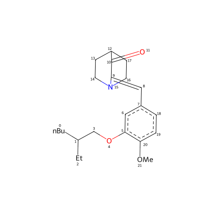 CCCCC(CC)COc1cc(C=C2C(=O)C3CCN2CC3)ccc1OC